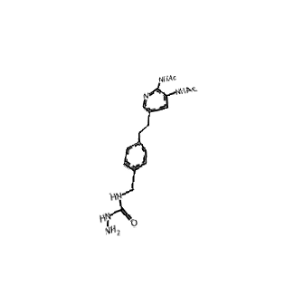 CC(=O)Nc1cc(CCc2ccc(CNC(=O)NN)cc2)cnc1NC(C)=O